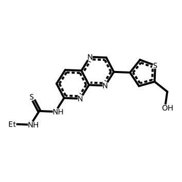 CCNC(=S)Nc1ccc2ncc(-c3csc(CO)c3)nc2n1